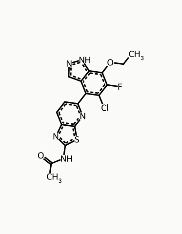 CCOc1c(F)c(Cl)c(-c2ccc3nc(NC(C)=O)sc3n2)c2cn[nH]c12